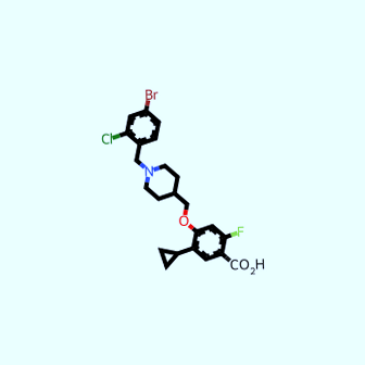 O=C(O)c1cc(C2CC2)c(OCC2CCN(Cc3ccc(Br)cc3Cl)CC2)cc1F